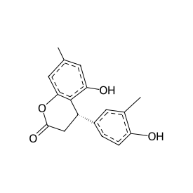 Cc1cc(O)c2c(c1)OC(=O)C[C@H]2c1ccc(O)c(C)c1